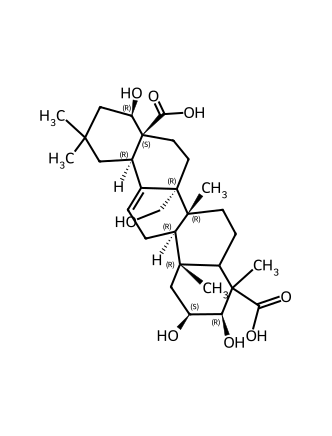 CC1(C)C[C@@H](O)[C@]2(C(=O)O)CC[C@]3(CO)C(=CC[C@@H]4[C@@]5(C)C[C@H](O)[C@H](O)C(C)(C(=O)O)C5CC[C@]43C)[C@H]2C1